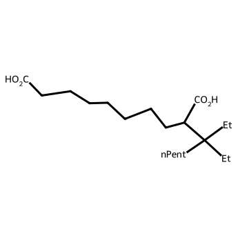 CCCCCC(CC)(CC)C(CCCCCCCC(=O)O)C(=O)O